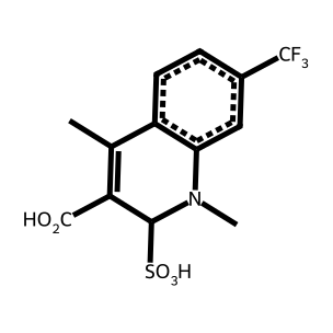 CC1=C(C(=O)O)C(S(=O)(=O)O)N(C)c2cc(C(F)(F)F)ccc21